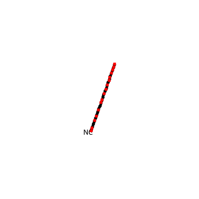 C#CC#CC#CC#CC#CC#CC#CC#CC#CC#CC#CC#CC#CC#CC#CC#CC#CC#CC#CC#CC#CC#CC#CC#N